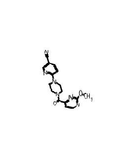 COc1nccc(C(=O)N2CCN(c3ccc(C#N)cn3)CC2)n1